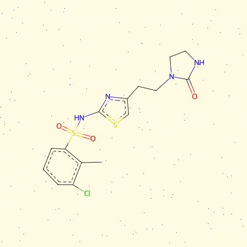 Cc1c(Cl)cccc1S(=O)(=O)Nc1nc(CCN2CCNC2=O)cs1